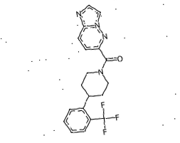 O=C(c1ccc2nccn2n1)N1CCC(c2ccccc2C(F)(F)F)CC1